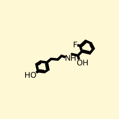 Oc1ccc(CCCNCC(O)c2ccccc2F)cc1